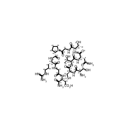 C[C@@H](O)[C@H](NC(=O)[C@H](CC(N)=O)NC(=O)[C@@H](NC(=O)[C@H](CS)NC(=O)[C@@H](N)CO)[C@@H](C)O)C(=O)NCC(=O)N1CCC[C@H]1C(=O)N[C@@H](CCCNC(=N)N)C(=O)NCC(=O)N[C@@H](CC(=O)O)C(N)=O